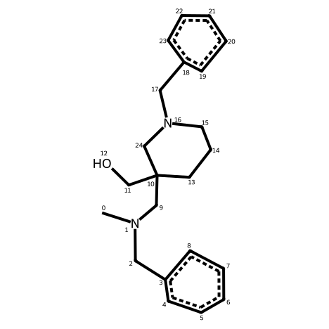 CN(Cc1ccccc1)CC1(CO)CCCN(Cc2ccccc2)C1